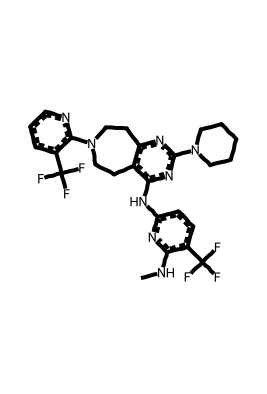 CNc1nc(Nc2nc(N3CCCCC3)nc3c2CCN(c2ncccc2C(F)(F)F)CC3)ccc1C(F)(F)F